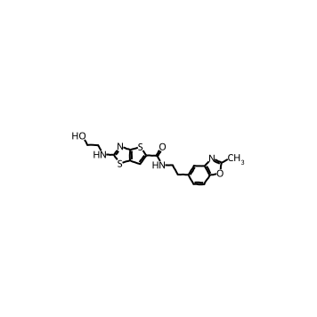 Cc1nc2cc(CCNC(=O)c3cc4sc(NCCO)nc4s3)ccc2o1